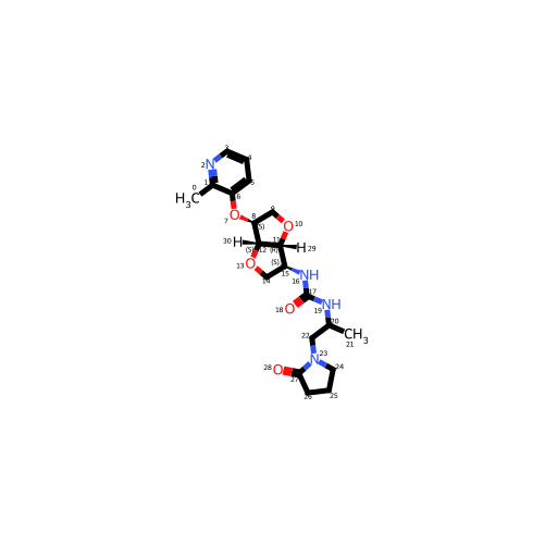 Cc1ncccc1O[C@H]1CO[C@H]2[C@@H]1OC[C@@H]2NC(=O)NC(C)CN1CCCC1=O